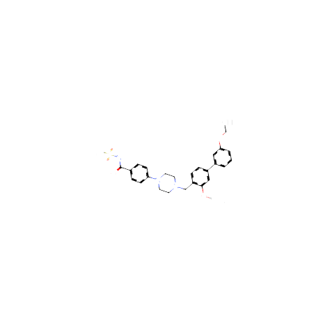 CCOc1cccc(-c2ccc(CN3CCN(c4ccc(C(=O)NS(C)(=O)=O)cc4)CC3)c(OC)c2)c1